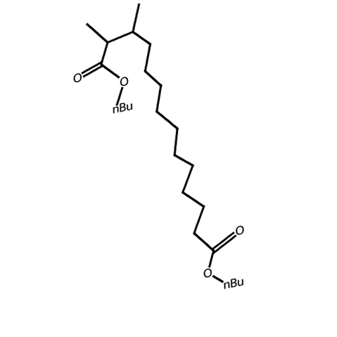 CCCCOC(=O)CCCCCCCCCCC(C)C(C)C(=O)OCCCC